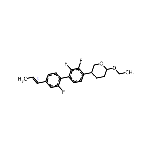 C/C=C/c1ccc(-c2ccc(C3CCC(OCC)OC3)c(F)c2F)c(F)c1